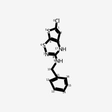 Clc1cc2c(s1)SN=C(NCc1ccccc1)N2